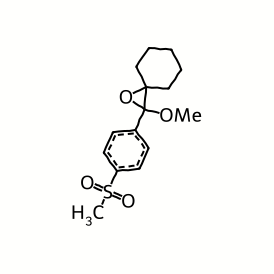 COC1(c2ccc(S(C)(=O)=O)cc2)OC12CCCCC2